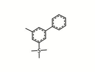 Cc1cc(-c2ccccc2)cc(S(C)(C)C)c1